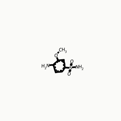 COc1cc(S(N)(=O)=O)ccc1N